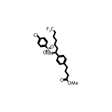 COC(=O)CCCc1ccc(C(CCCCCC(F)(F)F)NS(=O)(=O)c2ccc(Cl)cc2)cc1